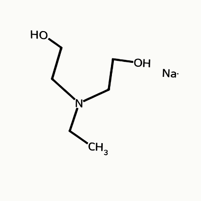 CCN(CCO)CCO.[Na]